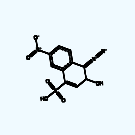 [N-]=[N+]=C1c2ccc([N+](=O)[O-])cc2C(S(=O)(=O)O)=CC1O